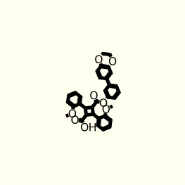 COc1ccccc1C1C(C(=O)O)C(c2ccccc2OC)C1C(=O)Oc1cccc(-c2ccc3c(c2)OCCO3)c1